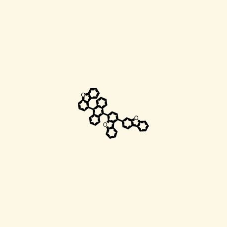 c1ccc2c(c1)oc1cc(-c3ccc(-c4c5ccccc5c(-c5cccc6oc7ccccc7c56)c5ccccc45)c4oc5ccccc5c34)ccc12